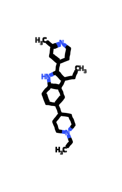 CCc1c(-c2ccnc(C)c2)[nH]c2ccc(C3CCN(CC)CC3)cc12